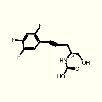 O=C(O)N[C@H](CO)CC#Cc1cc(F)c(F)cc1F